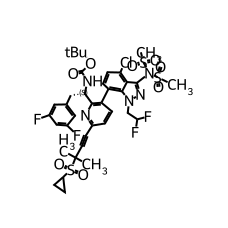 CC(C)(C)OC(=O)N[C@@H](Cc1cc(F)cc(F)c1)c1nc(C#CC(C)(C)S(=O)(=O)C2CC2)ccc1-c1ccc(Cl)c2c(N(S(C)(=O)=O)S(C)(=O)=O)nn(CC(F)F)c12